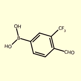 O=Cc1ccc(B(O)O)cc1C(F)(F)F